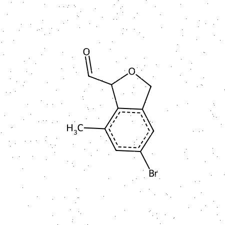 Cc1cc(Br)cc2c1C(C=O)OC2